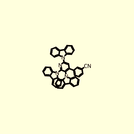 N#Cc1cccc(-c2cc(-n3c4ccccc4c4ccccc43)nc(-n3c4ccccc4c4ccccc43)c2-n2c3ccccc3c3ccccc32)c1